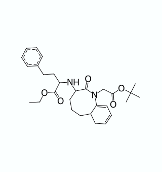 CCOC(=O)C(CCc1ccccc1)NC1CCCC2CC=CC=C2N(CC(=O)OC(C)(C)C)C1=O